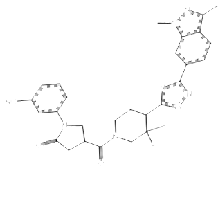 Cc1nn(C)c2cc(-c3noc(C4CCN(C(=O)C5CC(=O)N(c6cccc(C#N)c6)C5)CC4(F)F)n3)ccc12